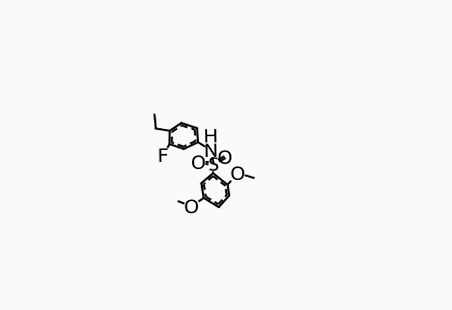 CCc1ccc(NS(=O)(=O)c2cc(OC)ccc2OC)cc1F